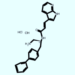 Cl.Cl.NC[C@H](Cc1ccc(-c2ccccc2)cc1)NC(=O)C=Cc1c[nH]c2ncccc12